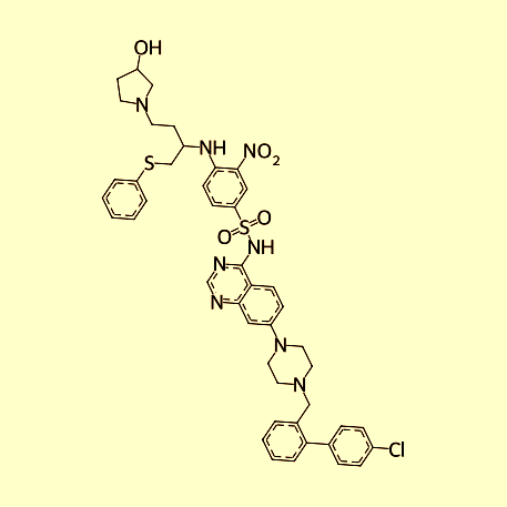 O=[N+]([O-])c1cc(S(=O)(=O)Nc2ncnc3cc(N4CCN(Cc5ccccc5-c5ccc(Cl)cc5)CC4)ccc23)ccc1NC(CCN1CCC(O)C1)CSc1ccccc1